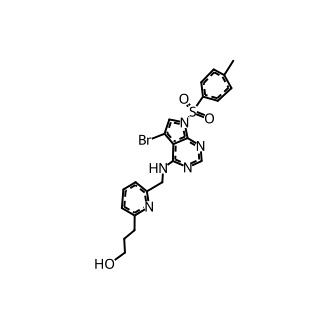 Cc1ccc(S(=O)(=O)n2cc(Br)c3c(NCc4cccc(CCCO)n4)ncnc32)cc1